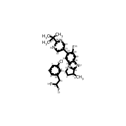 CC1C[C@H](c2c(Cl)cccc2CC(F)F)n2c1nc1cc(F)c(-c3cnc(C(C)(C)C)nc3)cc12